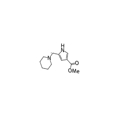 COC(=O)c1c[nH]c([CH]N2CCCCC2)c1